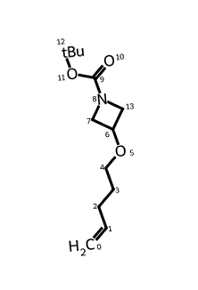 C=CCCCOC1CN(C(=O)OC(C)(C)C)C1